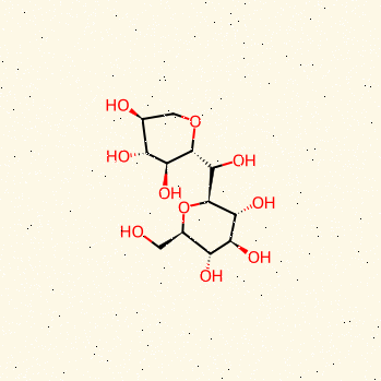 OC[C@H]1O[C@@H](C(O)[C@H]2OC[C@H](O)[C@@H](O)[C@@H]2O)[C@H](O)[C@@H](O)[C@@H]1O